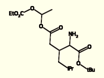 CCOC(=O)OC(C)OC(=O)CC(CC(C)C)C(N)C(=O)OC(C)(C)C